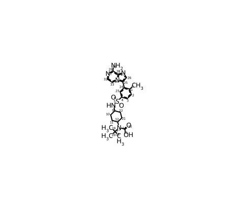 Cc1ccc(S(=O)(=O)NC2CCC(N(C(=O)O)C(C)(C)C)CC2)cc1-c1cnc2c(N)nccn12